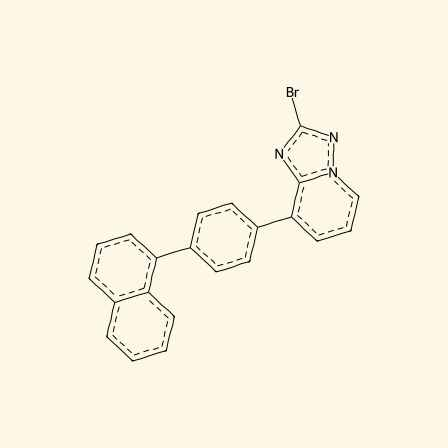 Brc1nc2c(-c3ccc(-c4cccc5ccccc45)cc3)cccn2n1